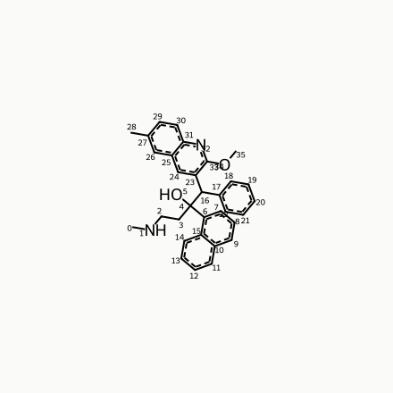 CNCCC(O)(c1cccc2ccccc12)C(c1ccccc1)c1cc2cc(C)ccc2nc1OC